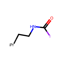 CC(C)CCNC(=O)I